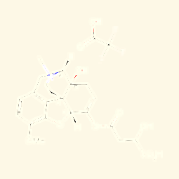 COc1ccc2c3c1O[C@H]1C(OC(=O)CC(O)C(=O)O)=CC[C@@]4(O)[C@@H](C2)N(C)CC[C@]314.O=C(O)C(F)(F)F